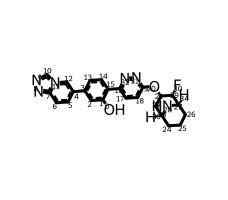 Oc1cc(-c2ccc3nncn3c2)ccc1-c1ccc(O[C@@H]2C[C@H]3CCC[C@H](N3)[C@@H]2F)nn1